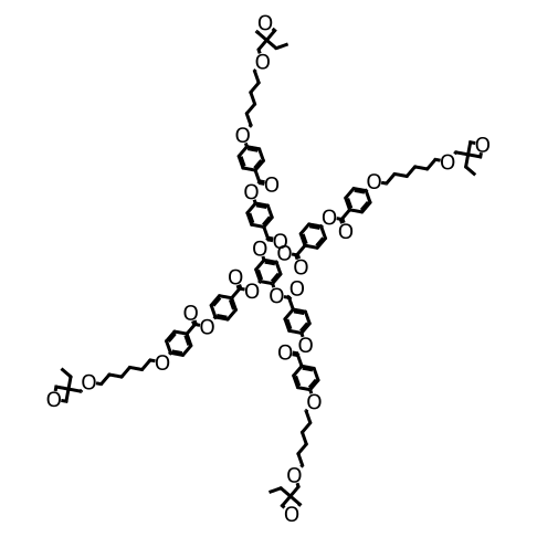 CCC1(COCCCCCCOc2ccc(C(=O)Oc3ccc(C(=O)Oc4cc(OC(=O)c5ccc(OC(=O)c6ccc(OCCCCCCOCC7(CC)COC7)cc6)cc5)c(OC(=O)c5ccc(OC(=O)c6ccc(OCCCCCCOCC7(CC)COC7)cc6)cc5)cc4OC(=O)c4ccc(OC(=O)c5ccc(OCCCCCCOCC6(CC)COC6)cc5)cc4)cc3)cc2)COC1